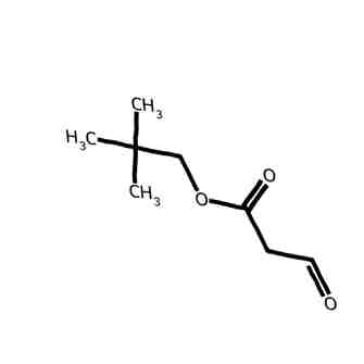 CC(C)(C)COC(=O)CC=O